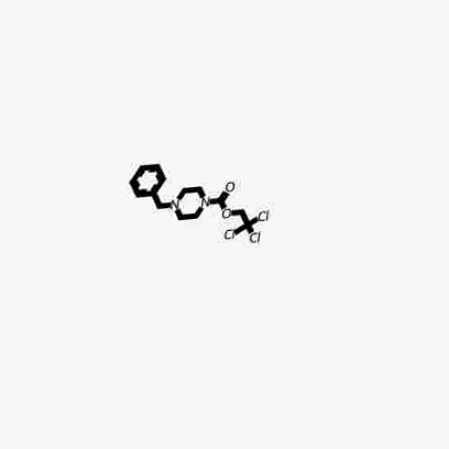 O=C(OCC(Cl)(Cl)Cl)N1CCN(Cc2ccccc2)CC1